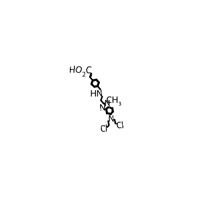 Cn1c(CCNCc2ccc(/C=C/C(=O)O)cc2)nc2cc(N(CCCl)CCCl)ccc21